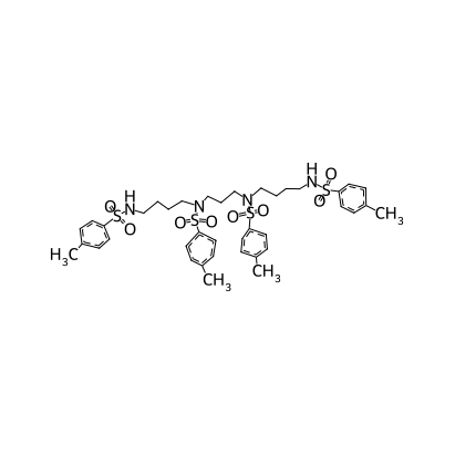 Cc1ccc(S(=O)(=O)NCCCCN(CCCN(CCCCNS(=O)(=O)c2ccc(C)cc2)S(=O)(=O)c2ccc(C)cc2)S(=O)(=O)c2ccc(C)cc2)cc1